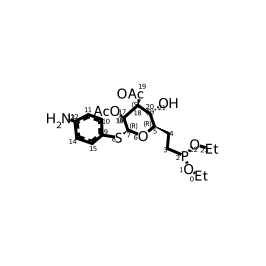 CCOP(CC[C@H]1O[C@H](Sc2ccc(N)cc2)[C@@H](OC(C)=O)[C@@H](OC(C)=O)[C@@H]1O)OCC